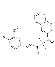 COc1cc(/C=C/C(=O)C(C)(C)C(=O)c2ccc3ccccc3c2)ccc1O